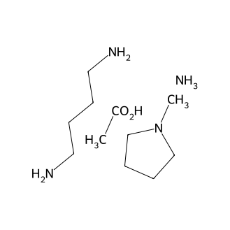 CC(=O)O.CN1CCCC1.N.NCCCCN